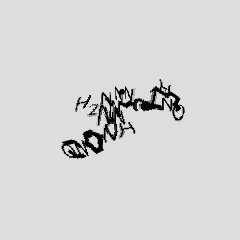 Nc1nc(Nc2ccc(N3CCOCC3)cc2)nn1-c1cc(N2CCN3C(=O)CC[C@@H]3C2)ncn1